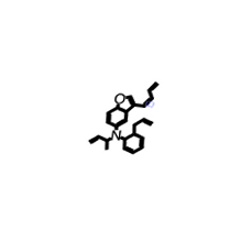 C=C/C=C\C1=COC2C=CC(N(C(C)C=C)C3C=CC=CC3CC=C)=CC12